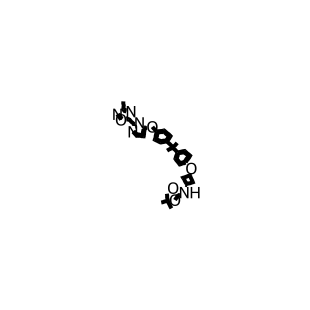 Cc1noc(-c2nccc(Oc3ccc(C(C)(C)c4ccc(O[C@H]5C[C@H](NC(=O)OC(C)(C)C)C5)cc4)cc3)n2)n1